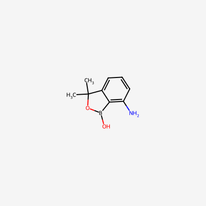 CC1(C)OB(O)c2c(N)cccc21